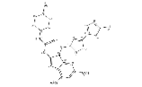 COc1cc(OC)c2cc(OC(=O)NC3CCN(C(C)C)CC3)n(Cc3cc(-c4ccc(Cl)s4)on3)c2c1